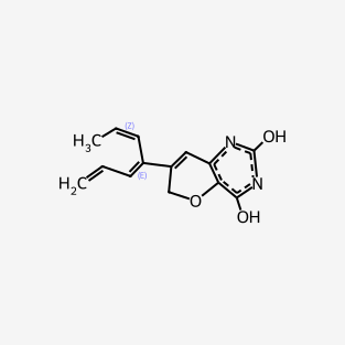 C=C/C=C(\C=C/C)C1=Cc2nc(O)nc(O)c2OC1